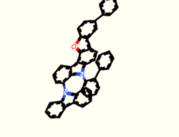 c1ccc(-c2ccc3oc4c(ccc5c4c4cccc(-n6c7ccccc7c7ccccc76)c4n5-c4ccccc4-c4ccccc4)c3c2)cc1